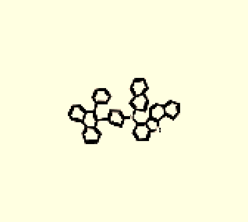 c1ccc(-c2c(-c3ccc(N(c4ccc5ccccc5c4)c4cccc5oc6c7ccccc7ccc6c45)cc3)c3ccccc3c3ccccc23)cc1